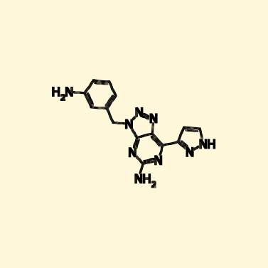 Nc1cccc(Cn2nnc3c(-c4cc[nH]n4)nc(N)nc32)c1